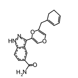 NC(=O)c1ccc2[nH]nc(C3=COC=C(CC4=CC=CCC4)O3)c2c1